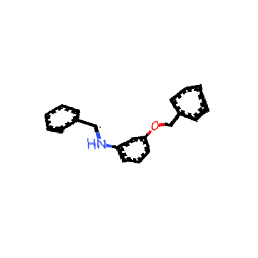 [CH](Nc1cccc(OCc2ccccc2)c1)c1ccccc1